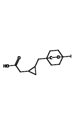 O=C(O)CC1CC1CC12CCC(I)(CC1)OC2